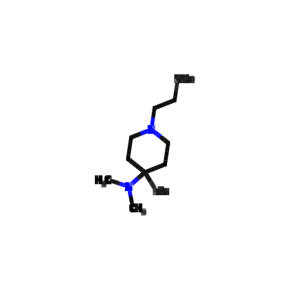 CCCCC1(N(C)C)CCN(CCNC)CC1